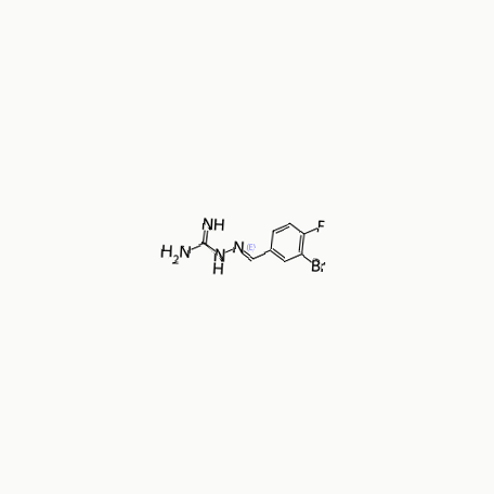 N=C(N)N/N=C/c1ccc(F)c(Br)c1